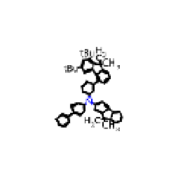 CC(C)(C)c1cc2c(c(C(C)(C)C)c1)C(C)(C)c1cccc(-c3cccc(N(c4ccc(-c5ccccc5)cc4)c4ccc5c(c4)C(C)(C)c4ccccc4-5)c3)c1-2